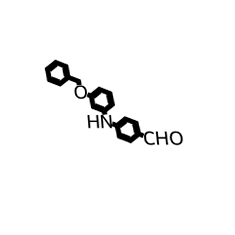 O=Cc1ccc(Nc2cccc(OCc3ccccc3)c2)cc1